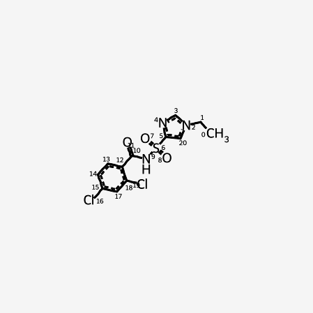 CCn1cnc(S(=O)(=O)NC(=O)c2ccc(Cl)cc2Cl)c1